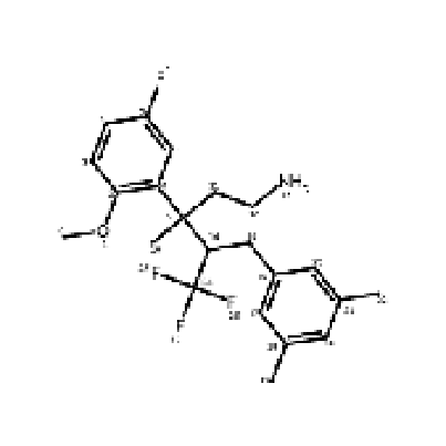 COc1ccc(F)cc1C(C)(CCN)C(Cc1cc(C)cc(C)c1)C(F)(F)F